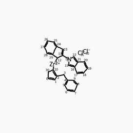 C1=CC(Cc2ccccc2)=[C]([Zr+2][CH]2C(n3cc4ccccc4c3)=Cc3ccccc32)C1.[Cl-].[Cl-]